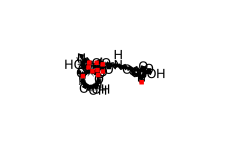 CCn1cc(C(=O)O)c(=O)c2cc(COCCNCCC(=O)O[C@H]3[C@H](C)OC(O[C@H]4[C@H](C)[C@@H](OC5O[C@H](C)C[C@H](N(C)C)[C@H]5O)[C@](C)(OC)C[C@@H](C)C(=O)[C@H](C)[C@@H](O)[C@](C)(O)[C@@H](I)OC(=O)[C@@H]4C)C[C@@]3(C)OC)ccc21